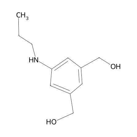 CCCNc1cc(CO)cc(CO)c1